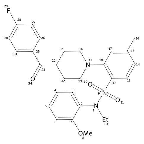 CCN(c1ccccc1OC)S(=O)(=O)c1ccc(C)cc1N1CCC(C(=O)c2ccc(F)cc2)CC1